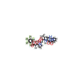 CC[C@H](C)[C@@H]([C@@H](CC(=O)N1CCC[C@H]1[C@H](OC)[C@@H](C)C(=O)Oc1c(F)c(F)c(F)c(F)c1F)OC)N(C)[C@H](C(=O)NC(=O)[C@]1(C)CCCN1C)C(C)C